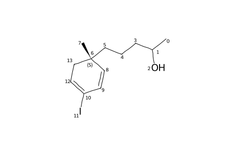 CC(O)CCC[C@]1(C)C=CC(I)=CC1